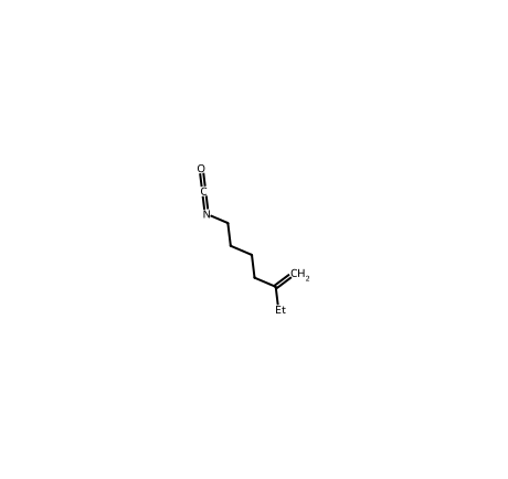 C=C(CC)CCCCN=C=O